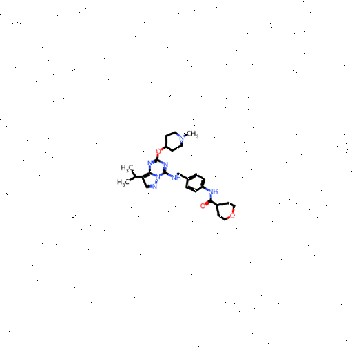 CC(C)c1cnn2c(NCc3ccc(NC(=O)C4CCOCC4)cc3)nc(OC3CCN(C)CC3)nc12